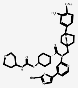 COc1ccc(C23CCC(CN(c4cc(-c5cnc(C(C)(C)C)s5)ccn4)C(=O)[C@H]4CC[C@H](OC(=O)NC5CCOCC5)CC4)(CC2)CC3)cc1C